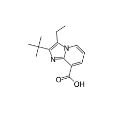 CCc1c(C(C)(C)C)nc2c(C(=O)O)cccn12